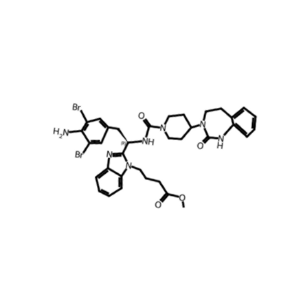 COC(=O)CCCn1c([C@@H](Cc2cc(Br)c(N)c(Br)c2)NC(=O)N2CCC(N3CCc4ccccc4NC3=O)CC2)nc2ccccc21